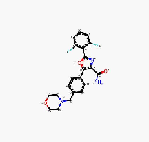 NC(=O)c1nc(-c2c(F)cccc2F)oc1-c1ccc(CN2CCOCC2)cc1